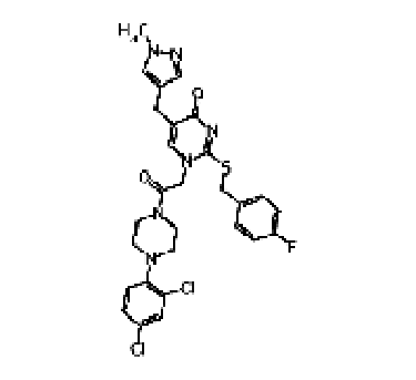 Cn1cc(Cc2cn(CC(=O)N3CCN(c4ccc(Cl)cc4Cl)CC3)c(SCc3ccc(F)cc3)nc2=O)cn1